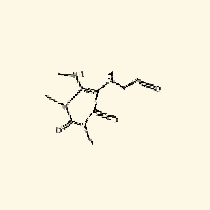 CNc1c(NCC=O)c(=O)n(C)c(=O)n1C